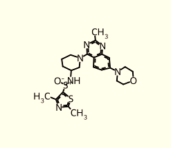 Cc1nc(N2CCCC(N[S+]([O-])c3sc(C)nc3C)C2)c2ccc(N3CCOCC3)cc2n1